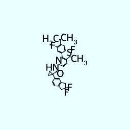 C=C(C)c1ccc(-c2nc(NC(=O)C3(c4ccc5c(c4)CC(F)(F)C5)CC3)ccc2C(C)SF)cc1F